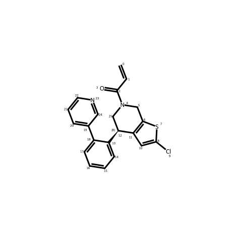 C=CC(=O)N1Cc2sc(Cl)cc2[C@@H](c2ccccc2-c2cccnc2)C1